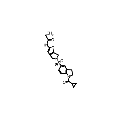 C=CC(=O)Nc1cc2c(o1)CN(S(=O)(=O)c1ccc3c(c1)CCN3C(=O)C1CC1)C2